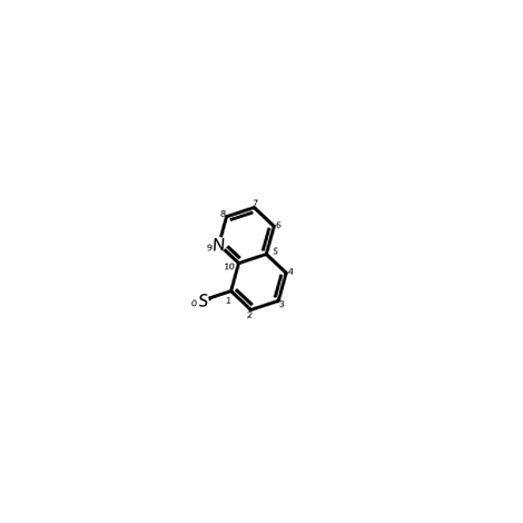 [S]c1cccc2cccnc12